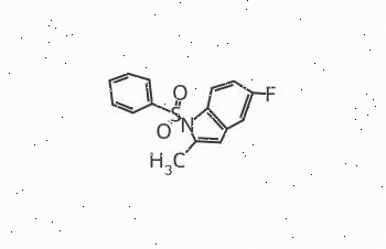 Cc1cc2cc(F)ccc2n1S(=O)(=O)c1ccccc1